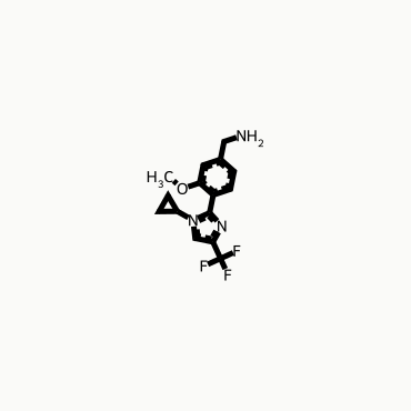 COc1cc(CN)ccc1-c1nc(C(F)(F)F)cn1C1CC1